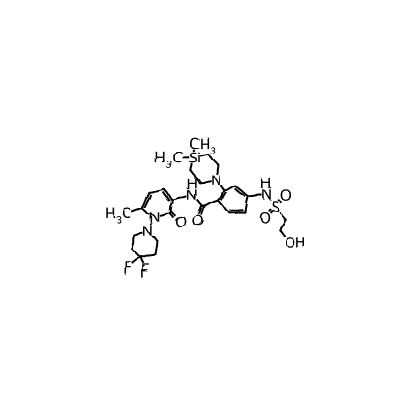 Cc1ccc(NC(=O)c2ccc(NS(=O)(=O)CCO)cc2N2CC[Si](C)(C)CC2)c(=O)n1N1CCC(F)(F)CC1